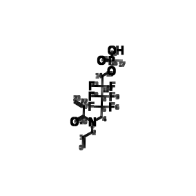 C=CCN(CC(F)(F)C(F)(F)C(F)(F)COP(C)(=O)O)C(=O)C=C